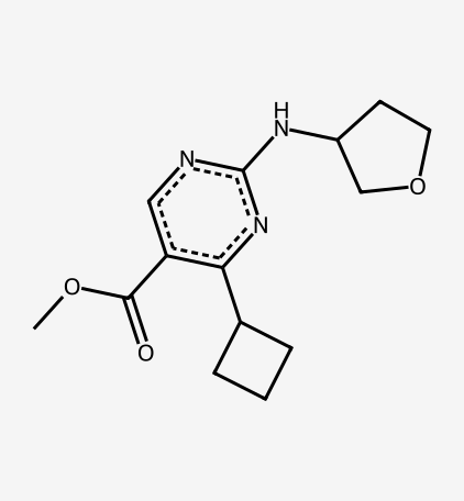 COC(=O)c1cnc(NC2CCOC2)nc1C1CCC1